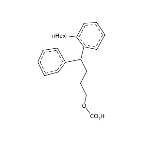 CCCCCCc1ccccc1C(CCCOC(=O)O)c1ccccc1